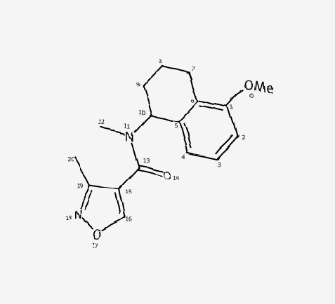 COc1cccc2c1CCCC2N(C)C(=O)c1conc1C